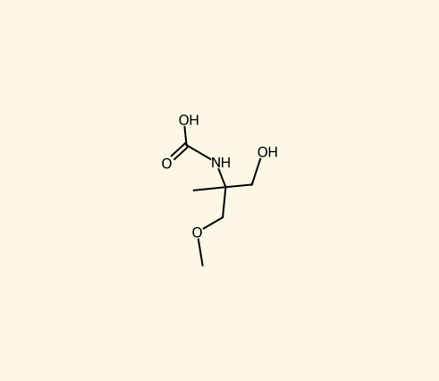 COCC(C)(CO)NC(=O)O